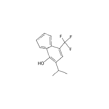 CC(C)c1cc(C(F)(F)F)c2ccccc2c1O